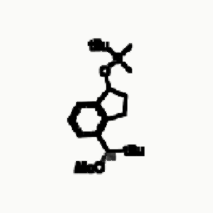 CO[C@H](c1cccc2c1CCC2O[Si](C)(C)C(C)(C)C)C(C)(C)C